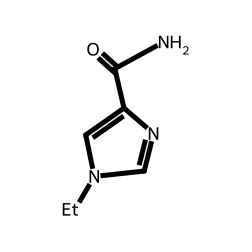 [CH2]Cn1cnc(C(N)=O)c1